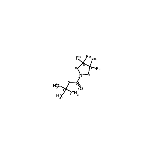 CC(C)(C)CC(=O)N1CC(F)(F)C(F)(F)C1